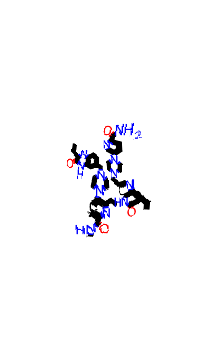 CCc1cc2ncc(CN3CCN(c4ccc(C(N)=O)nc4)CC3)cc2[nH]c1=O.CCc1nc(C(=O)NC)ccc1N1CCN(Cc2ccc3nc(CC)c(=O)[nH]c3c2)CC1